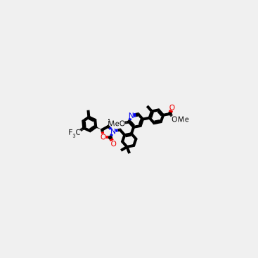 COC(=O)c1ccc(-c2cnc(OC)c(C3=C(CN4C(=O)O[C@H](c5cc(C)cc(C(F)(F)F)c5)[C@@H]4C)CC(C)(C)CC3)c2)c(C)c1